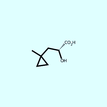 CC1(C[C@@H](O)C(=O)O)CC1